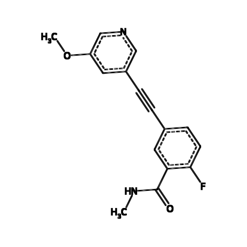 CNC(=O)c1cc(C#Cc2cncc(OC)c2)ccc1F